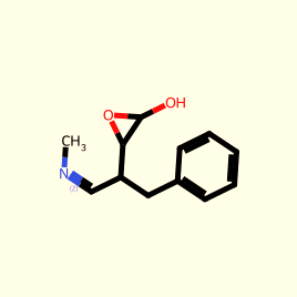 C/N=C\C(Cc1ccccc1)C1OC1O